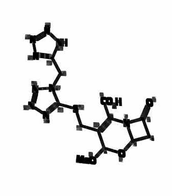 COC1OC2CC(=O)N2C(C(=O)O)=C1CSc1nnnn1Cc1nnn[nH]1